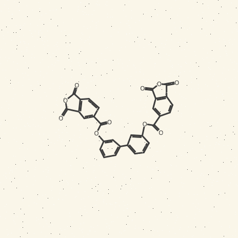 O=C(Oc1cccc(-c2cccc(OC(=O)c3ccc4c(c3)C(=O)OC4=O)c2)c1)c1ccc2c(c1)C(=O)OC2=O